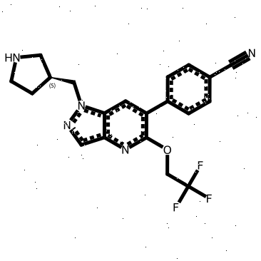 N#Cc1ccc(-c2cc3c(cnn3C[C@H]3CCNC3)nc2OCC(F)(F)F)cc1